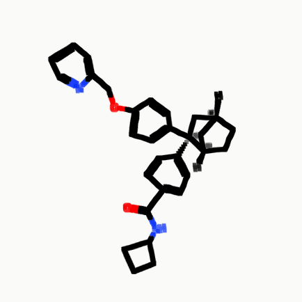 O=C(NC1CCC1)c1ccc([C@]2(c3ccc(OCc4ccccn4)cc3)C[C@@H]3CC[C@H]2C3)cc1